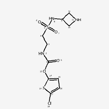 O=C(NCCS(=O)(=O)NC1CNC1)Oc1ccc(Cl)s1